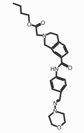 CCCCOC(=O)CN1CCc2ccc(C(=O)Nc3ccc(/C=N/N4CCOCC4)cc3)cc2C1